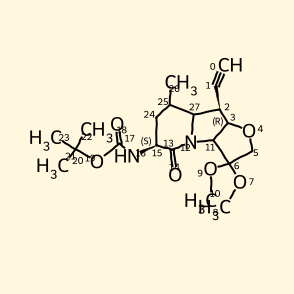 C#C[C@H]1C2OCC(OC)(OC)C2N2C(=O)[C@@H](NC(=O)OC(C)(C)C)CC(C)C12